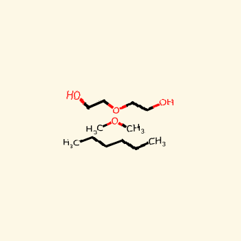 CCCCCC.COC.OCCOCCO